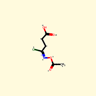 CC(=O)O/N=C(/Cl)CCC(=O)O